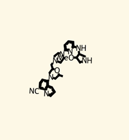 COC1CNCC1Nc1cccc(N2CCN(CC3CN(c4ccc(C#N)c5ncccc45)CC(C)O3)CC2)n1